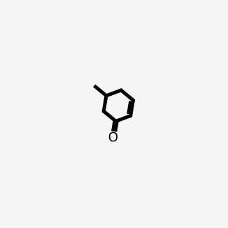 CC1CC=CC(=O)C1